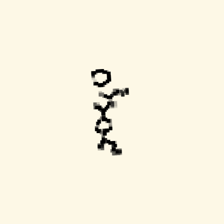 CC(C)(C)OC(=O)N1CCN(C(=O)NC(CC2CCCCC2)C(=O)O)CC1